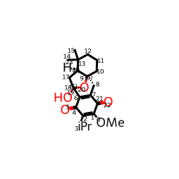 COC1=C(C(C)C)C(=O)C2=C(C[C@@]34CCCC(C)(C)[C@@H]3C[C@]2(O)O4)C1=O